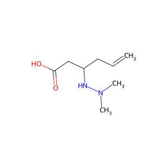 C=CCC(CC(=O)O)NN(C)C